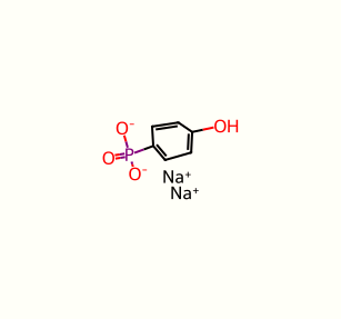 O=P([O-])([O-])c1ccc(O)cc1.[Na+].[Na+]